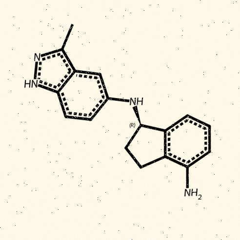 Cc1n[nH]c2ccc(N[C@@H]3CCc4c(N)cccc43)cc12